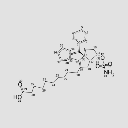 C=C(c1ccccc1)[C@@]12CC[C@H](OS(N)(=O)=O)C1CC(CCCCCCCCCC(=O)O)=C2c1ccccc1